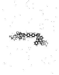 CCN(CC)[C@@H](C)C(=O)N1CCC[C@H]1c1ncc(-c2ccc(-c3ccc(-c4cnc([C@@H]5CCCN5C(=O)[C@@H](c5ccccc5)N(CC)CC)[nH]4)cc3)cc2)[nH]1